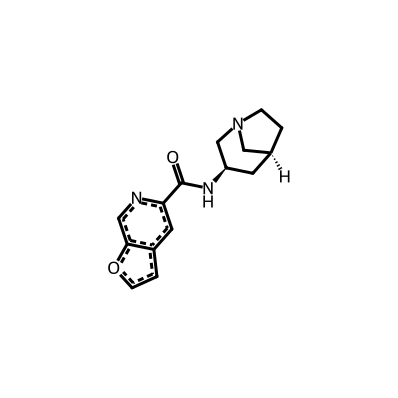 O=C(N[C@@H]1C[C@@H]2CCN(C2)C1)c1cc2ccoc2cn1